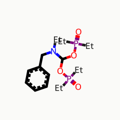 CCN(Cc1ccccc1)C(OP(=O)(CC)CC)OP(=O)(CC)CC